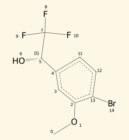 COc1cc([C@H](O)C(F)(F)F)ccc1Br